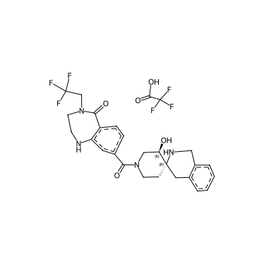 O=C(O)C(F)(F)F.O=C(c1ccc2c(c1)NCCN(CC(F)(F)F)C2=O)N1CC[C@]2(Cc3ccccc3CN2)[C@H](O)C1